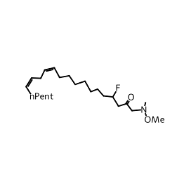 CCCCC/C=C\C/C=C\CCCCCCCC(F)CC(=O)CN(C)OC